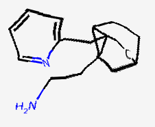 NCCC1(c2ccccn2)CC2CCC1CC2